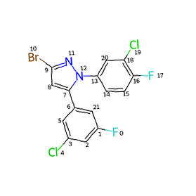 Fc1cc(Cl)cc(-c2cc(Br)nn2-c2ccc(F)c(Cl)c2)c1